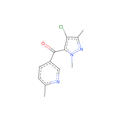 Cc1ccc(C(=O)c2c(Cl)c(C)nn2C)cn1